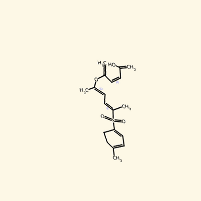 C=C(O)/C=C\C(=C)O/C(C)=C/C=C(\C)S(=O)(=O)C1=CC=C(C)CC1